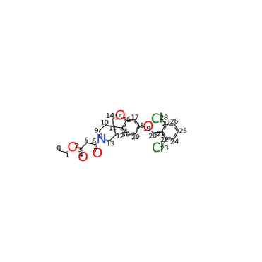 CCOC(=O)CC(=O)N1CCC2(CC1)COc1cc(OCc3c(Cl)cccc3Cl)ccc12